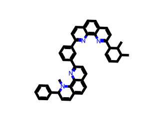 CC1CC=CC(c2ccc3ccc4ccc(-c5cccc(-c6ccc7ccc8c(c7n6)N(C)C(c6ccccc6)C=C8)c5)nc4c3n2)C1C